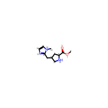 COC(=O)C1CC(Cc2nccn2C)CN1